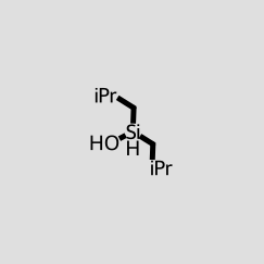 CC(C)C[SiH](O)CC(C)C